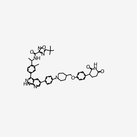 Cc1cc(-c2n[nH]c3ncc(-c4ccc(N5CCC(COc6ccc(C7CCC(=O)NC7=O)cc6)CC5)cc4)cc23)ccc1C(C)NC(=O)c1noc(C(C)(C)C)n1